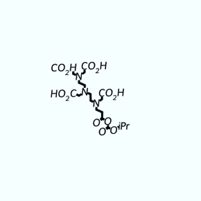 CC(C)OC(=O)OC(=O)CCN(CCN(CCN(CC(=O)O)CC(=O)O)CC(=O)O)CC(=O)O